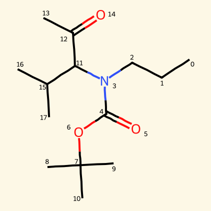 CCCN(C(=O)OC(C)(C)C)C(C(C)=O)C(C)C